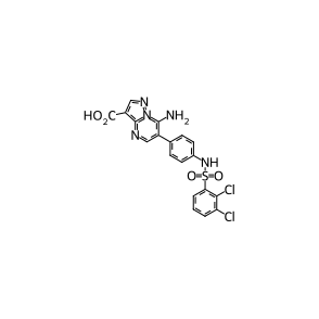 Nc1c(-c2ccc(NS(=O)(=O)c3cccc(Cl)c3Cl)cc2)cnc2c(C(=O)O)cnn12